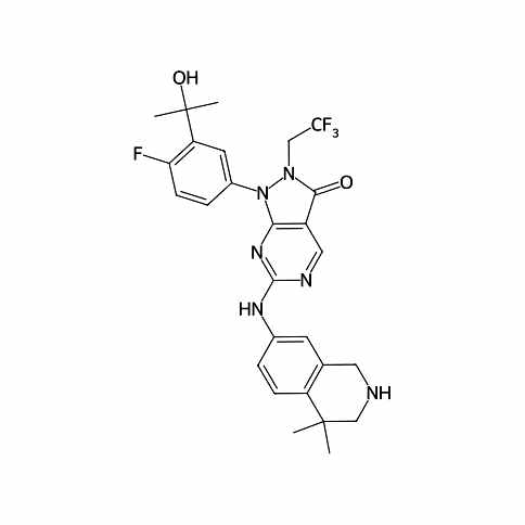 CC(C)(O)c1cc(-n2c3nc(Nc4ccc5c(c4)CNCC5(C)C)ncc3c(=O)n2CC(F)(F)F)ccc1F